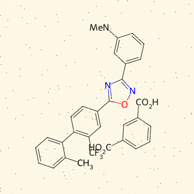 CNc1cccc(-c2noc(-c3ccc(-c4ccccc4C)c(C(F)(F)F)c3)n2)c1.O=C(O)c1cccc(C(=O)O)c1